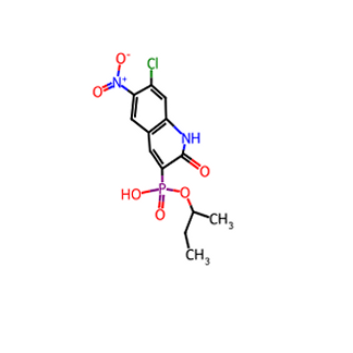 CCC(C)OP(=O)(O)c1cc2cc([N+](=O)[O-])c(Cl)cc2[nH]c1=O